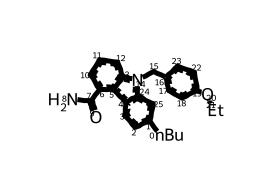 CCCCc1c[c]c2c3c(C(N)=O)cccc3n(Cc3ccc(OCC)cc3)c2c1